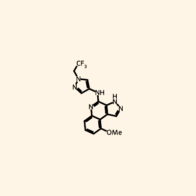 COc1cccc2nc(Nc3cnn(CC(F)(F)F)c3)c3[nH]ncc3c12